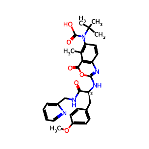 COc1ccc(C[C@H](Nc2nc3ccc(N(C(=O)O)C(C)(C)C)c(C)c3c(=O)o2)C(=O)NCc2ccccn2)cc1